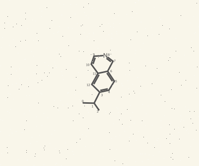 CC(C)c1ccc2cnccc2c1